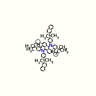 CC(C)(C)c1ccc(N(c2ccc(C(C)(C)c3ccc4ccccc4c3)cc2)c2c3ccc(C4CCCCC4)cc3c(N(c3ccc(C(C)(C)C)cc3)c3ccc(C(C)(C)c4ccc5ccccc5c4)cc3)c3ccc(C4CCCCC4)cc23)cc1